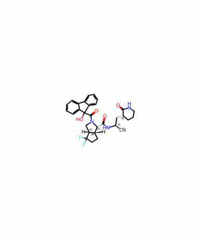 N#C[C@H](C[C@H]1CCCNC1=O)NC(=O)[C@@H]1[C@@H]2CCC(F)(F)[C@@H]2CN1C(=O)C1(O)c2ccccc2-c2ccccc21